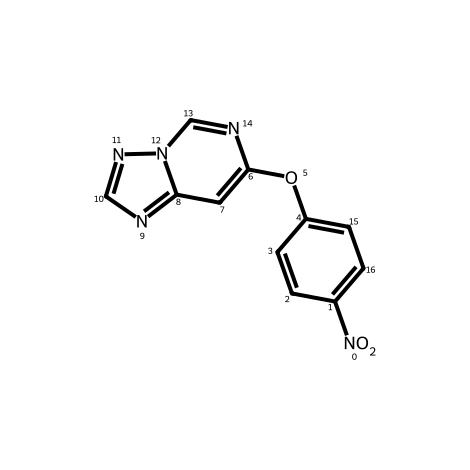 O=[N+]([O-])c1ccc(Oc2cc3ncnn3cn2)cc1